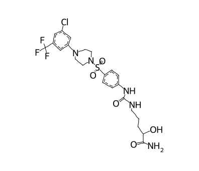 NC(=O)C(O)CCCNC(=O)Nc1ccc(S(=O)(=O)N2CCN(c3cc(Cl)cc(C(F)(F)F)c3)CC2)cc1